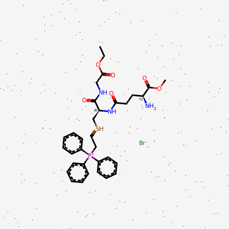 CCOC(=O)CNC(=O)[C@H](C[SH]=CC[P+](c1ccccc1)(c1ccccc1)c1ccccc1)NC(=O)CC[C@H](N)C(=O)OC.[Br-]